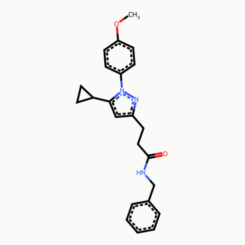 COc1ccc(-n2nc(CCC(=O)NCc3ccccc3)cc2C2CC2)cc1